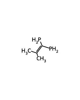 CC(C)=C(P)P